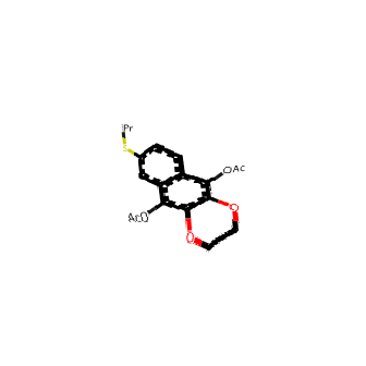 CC(=O)Oc1c2c(c(OC(C)=O)c3cc(SC(C)C)ccc13)OCCO2